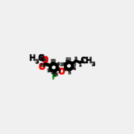 CCCc1ccc(Oc2ccc(C(=O)OC)cc2F)cc1